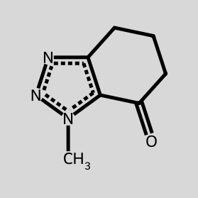 Cn1nnc2c1C(=O)CCC2